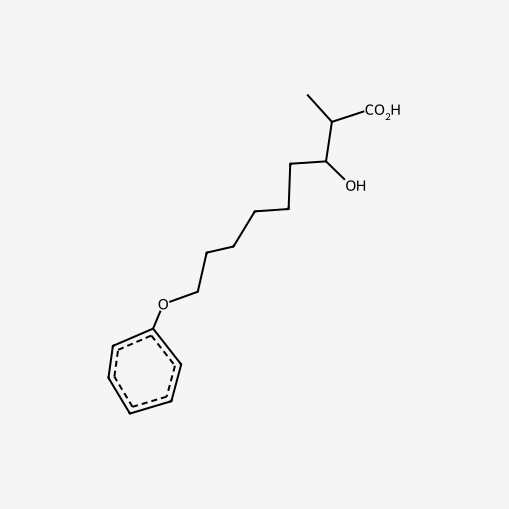 CC(C(=O)O)C(O)CCCCCCOc1ccccc1